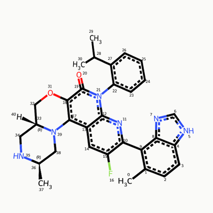 Cc1ccc2[nH]cnc2c1-c1nc2c(cc1F)c1c(c(=O)n2-c2ccccc2C(C)C)OC[C@H]2CN[C@H](C)CN12